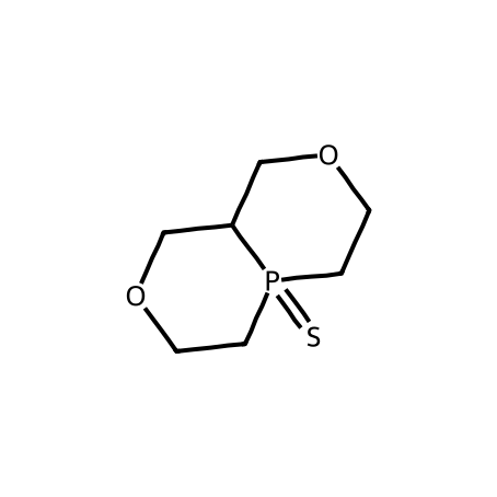 S=P12CCOCC1COCC2